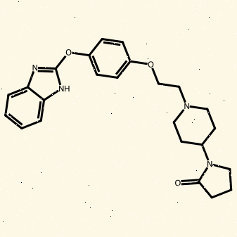 O=C1CCCN1C1CCN(CCOc2ccc(Oc3nc4ccccc4[nH]3)cc2)CC1